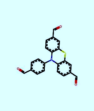 O=Cc1ccc(N2c3ccc(C=O)cc3Sc3cc(C=O)ccc32)cc1